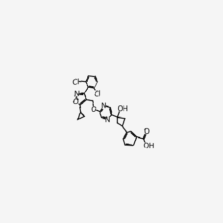 O=C(O)c1cccc(C2CC(O)(c3cnc(OCc4c(-c5c(Cl)cccc5Cl)noc4C4CC4)cn3)C2)c1